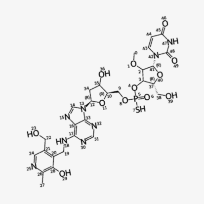 COC1C(OP(=O)(S)OC[C@H]2O[C@@H](n3cnc4c(NCc5c(CO)cnc(C)c5O)ncnc43)CC2O)[C@@H](CO)O[C@H]1n1ccc(=O)[nH]c1=O